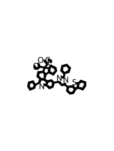 c1ccc(-c2nc(-c3ccc4nc(-c5ccccc5)c5ccc6c(c5c4c3)-c3ccccc3C63c4ccccc4Oc4ccccc43)cc(-c3cccc4c3sc3ccccc34)n2)cc1